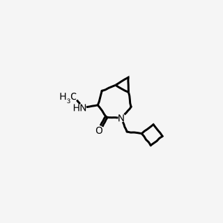 CNC1CC2CC2CN(CC2CCC2)C1=O